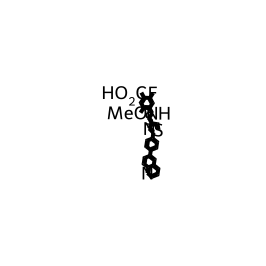 COc1cc(C(=O)O)c(F)cc1NSc1csc(-c2ccc(-c3ccc4ncccc4c3)cc2)n1